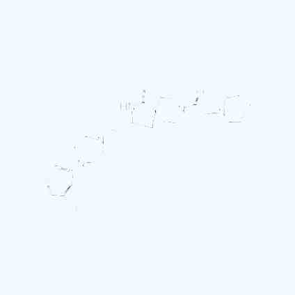 O=C(CN1CCOCC1)N1CCC2(CC1)CC(CCN1CCN(c3cccc(Cl)c3)CC1)NC2=O